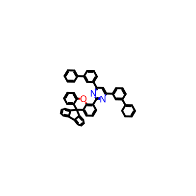 C1=CCCC(c2cccc(-c3cc(-c4cccc(-c5ccccc5)c4)nc(-c4cccc5c4Oc4ccccc4C54c5ccccc5-c5ccccc54)n3)c2)=C1